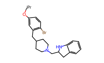 CC(C)Oc1ccc(Br)c(CC2CCN(CC3Cc4ccccc4N3)CC2)c1